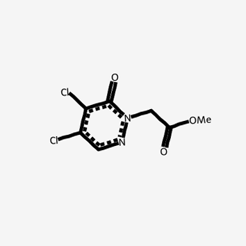 COC(=O)Cn1ncc(Cl)c(Cl)c1=O